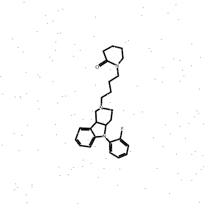 O=C1CCCCN1CCCCN1CCC2C(C1)c1ccccc1N2c1ccccc1F